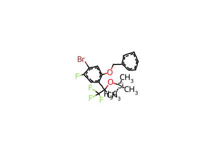 CC(O[Si](C)(C)C)(c1cc(F)c(Br)cc1OCc1ccccc1)C(F)(F)F